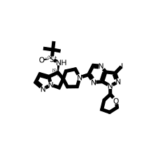 CC(C)(C)[S@@+]([O-])N[C@@H]1c2ccnn2CC12CCN(c1cnc3c(I)nn(C4CCCCO4)c3n1)CC2